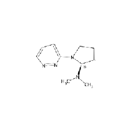 CN(C)[C@@H]1[CH]CCN1c1cccnn1